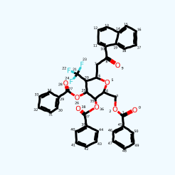 O=C(OCC1OC(CC(=O)c2cccc3ccccc23)C(C(F)(F)F)C(OC(=O)c2ccccc2)C1OC(=O)c1ccccc1)c1ccccc1